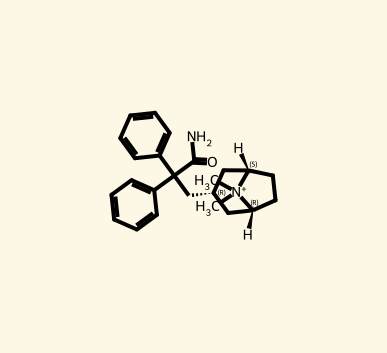 C[N+]1(C)[C@@H]2CC[C@H]1C[C@@H](CC(C(N)=O)(c1ccccc1)c1ccccc1)C2